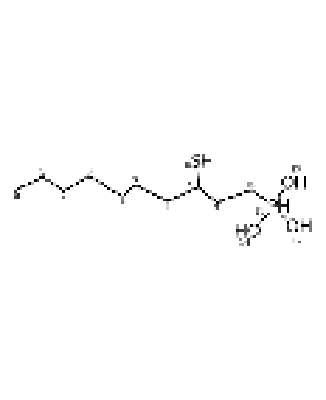 CCCCCCCC(S)CC[PH](O)(O)O